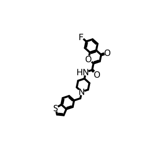 O=C(NC1CCN(Cc2ccc3sccc3c2)CC1)c1cc(=O)c2ccc(F)cc2o1